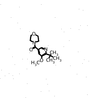 COc1cc(C(=O)N2CCOCC2)cnc1C(C)(C)C